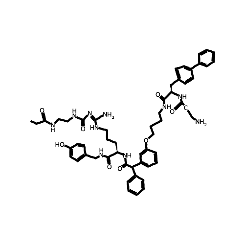 CCC(=O)NCCNC(=O)/N=C(/N)NCCC[C@@H](NC(=O)C(c1ccccc1)c1cccc(OCCCCNC(=O)[C@@H](Cc2ccc(-c3ccccc3)cc2)NC(=O)CCN)c1)C(=O)NCc1ccc(O)cc1